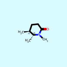 C[C@@H]1[C@@H](C)CCC(=O)N1C